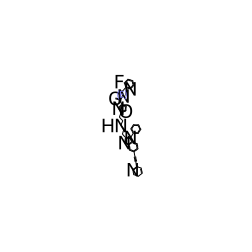 O=C(/N=C/c1ncccc1F)c1coc(CCNCCc2nc3cc(C#CC4=NCCC=C4)ccc3n2-c2ccccc2)n1